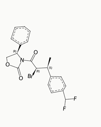 C[C@@H](c1ccc(C(F)F)cc1)[C@@H](Br)C(=O)N1C(=O)OC[C@H]1c1ccccc1